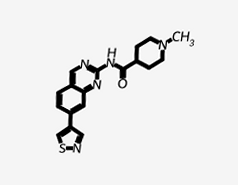 CN1CCC(C(=O)Nc2ncc3ccc(-c4cnsc4)cc3n2)CC1